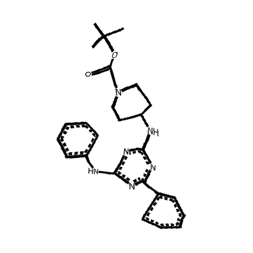 CC(C)(C)OC(=O)N1CCC(Nc2nc(Nc3ccccc3)nc(-c3ccccc3)n2)CC1